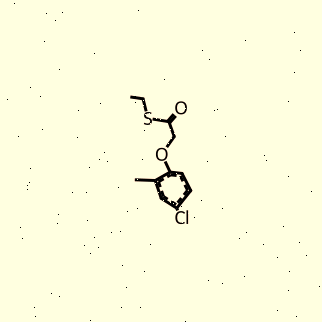 CCSC(=O)COc1ccc(Cl)cc1C